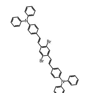 Brc1cc(C=Cc2ccc(N(c3ccccc3)c3ccccc3)cc2)c(Br)cc1C=Cc1ccc(N(c2ccccc2)c2ccccc2)cc1